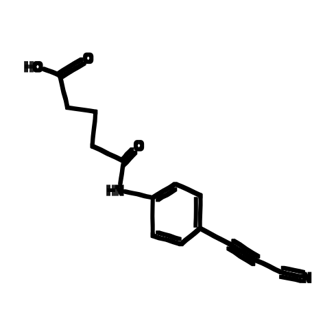 N#CC#Cc1ccc(NC(=O)CCCC(=O)O)cc1